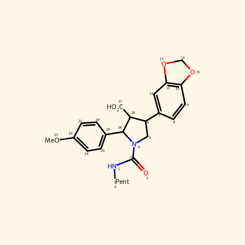 CCCC(C)NC(=O)N1CC(c2ccc3c(c2)OCO3)C(C(=O)O)C1c1ccc(OC)cc1